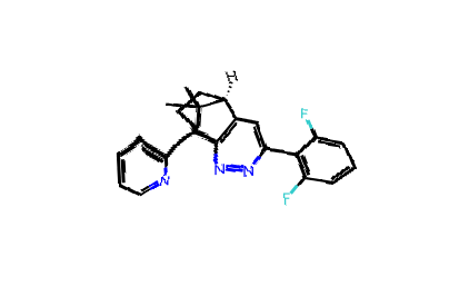 CC1(C)[C@H]2CCC1(c1ccccn1)c1nnc(-c3c(F)cccc3F)cc12